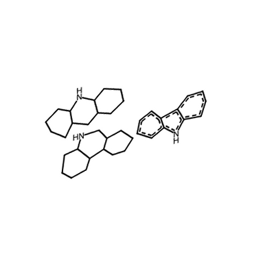 C1CCC2C(C1)CNC1CCCCC12.C1CCC2NC3CCCCC3CC2C1.c1ccc2c(c1)[nH]c1ccccc12